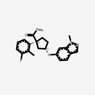 COC(=O)[C@@]1(c2cccc(F)c2C)CC[C@H](Oc2ccc3cnn(C)c3c2)C1